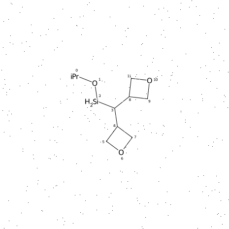 CC(C)O[SiH2]C(C1COC1)C1COC1